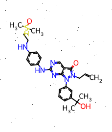 C=CCn1c(=O)c2cnc(Nc3ccc(NCC[SH](C)(C)=O)cc3)nc2n1-c1cccc(C(C)(C)O)c1